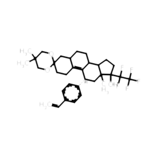 C=Cc1ccc([C@H]2CC3(C)C(CCC3(O)C(F)(F)C(F)(F)F)C3CCC4CC5(CCC4=C32)OCC(C)(C)CO5)cc1